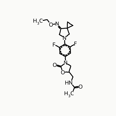 CCON=C1CN(c2c(F)cc(N3CC(CNC(C)=O)OC3=O)cc2F)CC12CC2